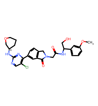 COc1cccc(C(CO)NC(=O)CN2Cc3ccc(-c4nc(N[C@@H]5CCCOC5)ncc4Cl)cc3C2=O)c1